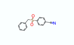 N#Cc1ccc(S(=O)(=O)Cc2ccccc2)cc1